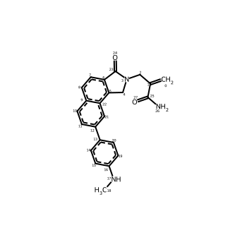 C=C(CN1Cc2c(ccc3ccc(-c4ccc(NC)cc4)cc23)C1=O)C(N)=O